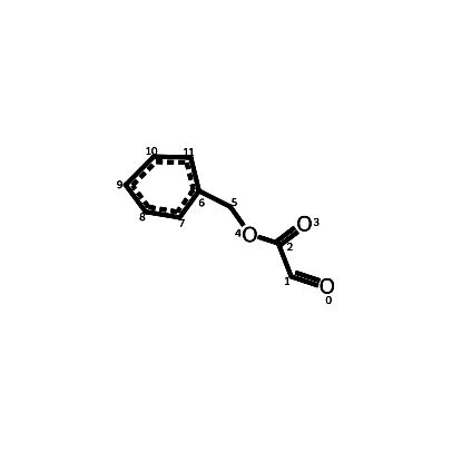 O=CC(=O)OCc1ccccc1